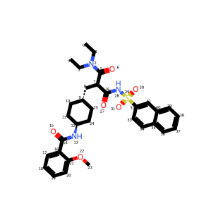 CCN(CC)C(=O)C(C[C@H]1CC[C@H](NC(=O)c2ccccc2OC)CC1)C(=O)NS(=O)(=O)c1ccc2ccccc2c1